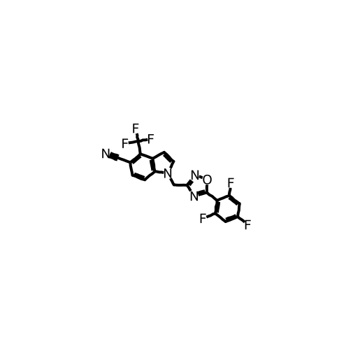 N#Cc1ccc2c(ccn2Cc2noc(-c3c(F)cc(F)cc3F)n2)c1C(F)(F)F